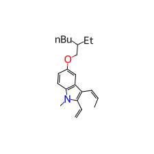 C=Cc1c(/C=C\C)c2cc(OCC(CC)CCCC)ccc2n1C